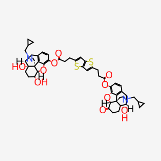 O=C(CCc1cc2sc(CCC(=O)Oc3ccc4c5c3O[C@H]3C(O)CC[C@@]6(O)[C@@H](C4)N(CC4CC4)CC[C@]536)cc2s1)Oc1ccc2c3c1O[C@H]1C(=O)CC[C@@]4(O)[C@@H](C2)N(CC2CC2)CC[C@]314